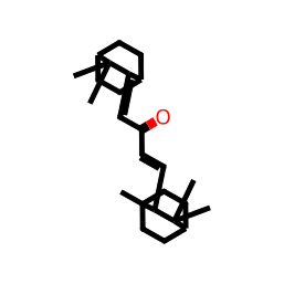 CC12CCC(CC1)C(C)(C)C2C=CC(=O)C=C1C2CCC(CC2)C1(C)C